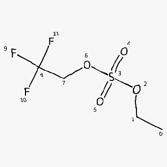 CCOS(=O)(=O)OCC(F)(F)F